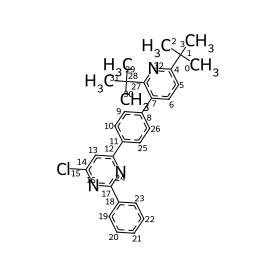 CC(C)(C)c1ccc(-c2ccc(-c3cc(Cl)nc(-c4ccccc4)n3)cc2)c(C(C)(C)C)n1